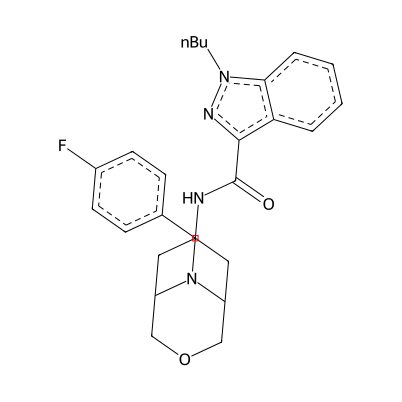 CCCCn1nc(C(=O)NC2CC3COCC(C2)N3Cc2ccc(F)cc2)c2ccccc21